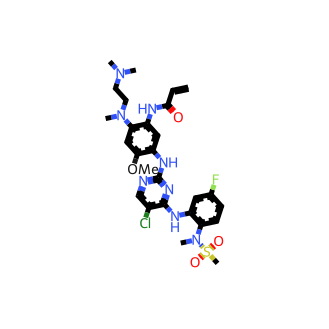 C=CC(=O)Nc1cc(Nc2ncc(Cl)c(Nc3cc(F)ccc3N(C)S(C)(=O)=O)n2)c(OC)cc1N(C)CCN(C)C